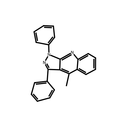 Cc1c2ccccc2nc2c1c(-c1ccccc1)nn2-c1ccccc1